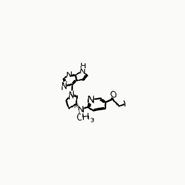 CN(c1ccc(C(=O)CI)cn1)[C@@H]1CCN(c2ncnc3[nH]ccc23)C1